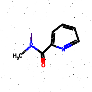 CN(I)C(=O)c1ccccn1